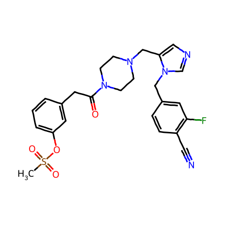 CS(=O)(=O)Oc1cccc(CC(=O)N2CCN(Cc3cncn3Cc3ccc(C#N)c(F)c3)CC2)c1